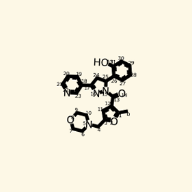 Cc1oc(CN2CCOCC2)cc1C(=O)N1N=C(c2cccnc2)CC1c1ccccc1O